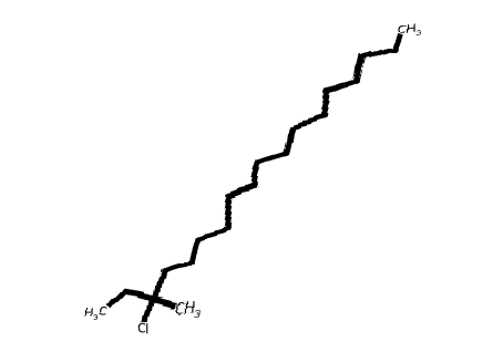 CCCCCCCCCCCCCCCC(C)(Cl)CC